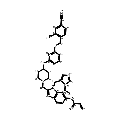 C=CC(=O)Oc1ccc2nc(CN3CCC(Oc4cccc(OCc5ccc(C#N)cc5F)n4)CC3)n(Cc3cncn3CC)c2c1